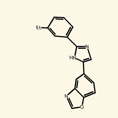 CCc1cccc(-c2ncc(-c3ccc4ocnc4c3)[nH]2)c1